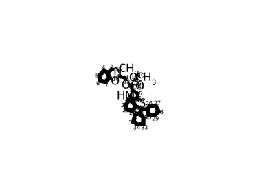 CN(Cc1ccccc1)C(=O)COC(C1CC(SC(c2ccccc2)(c2ccccc2)c2ccccc2)CN1)S(C)(=O)=O